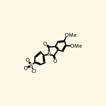 COc1cc2c(cc1OC)C(=O)N(c1ccc(S(=O)(=O)Cl)cc1)C2=O